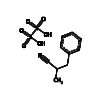 CC(C#N)Cc1ccccc1.O=S(=O)(O)S(=O)(=O)O